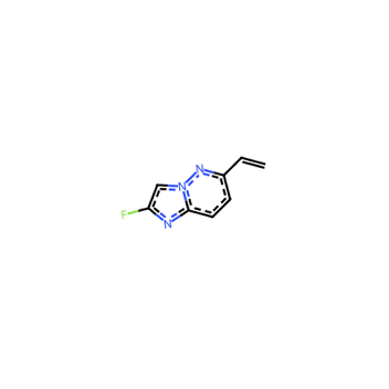 C=Cc1ccc2nc(F)cn2n1